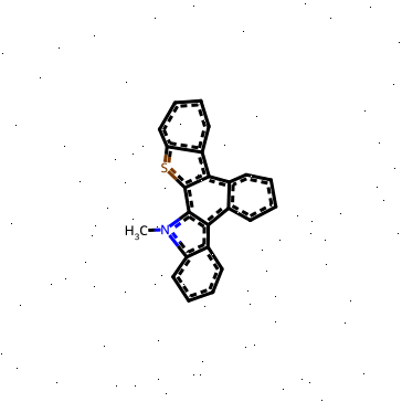 Cn1c2ccccc2c2c3ccccc3c3c4ccccc4sc3c21